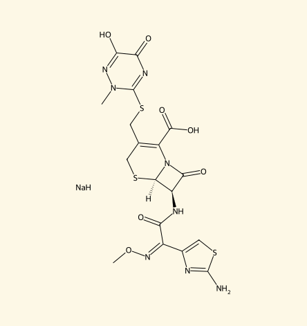 CO/N=C(\C(=O)N[C@@H]1C(=O)N2C(C(=O)O)=C(CSc3nc(=O)c(O)nn3C)CS[C@H]12)c1csc(N)n1.[NaH]